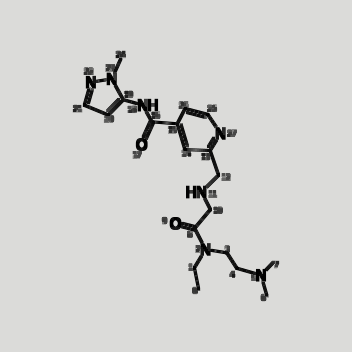 CCN(CCN(C)C)C(=O)CNCc1cc(C(=O)Nc2ccnn2C)ccn1